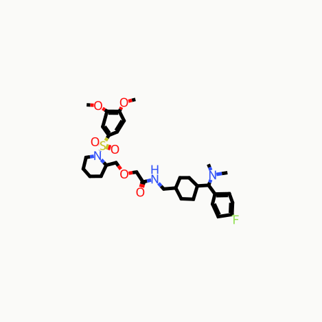 COc1ccc(S(=O)(=O)N2CCCCC2COCC(=O)NCC2CCC(C(c3ccc(F)cc3)N(C)C)CC2)cc1OC